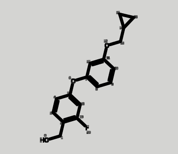 OCc1ccc(Oc2cccc(OCC3CC3)c2)cc1F